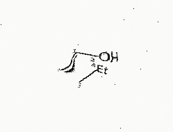 C=CO.CCC